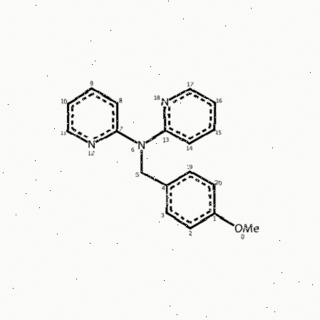 COc1ccc(CN(c2ccccn2)c2ccccn2)cc1